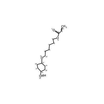 C=CC(=O)OCCCCCCOC1CCC(OC)CC1